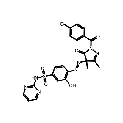 CC1=NN(C(=O)c2ccc(Cl)cc2)C(=O)C1(C)/N=N/c1ccc(S(=O)(=O)Nc2ncccn2)cc1O